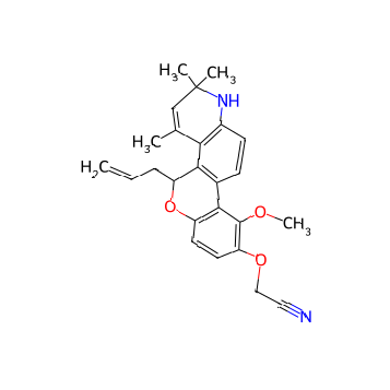 C=CCC1Oc2ccc(OCC#N)c(OC)c2-c2ccc3c(c21)C(C)=CC(C)(C)N3